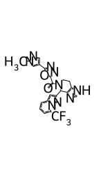 Cn1cc(-c2nnc(C(=O)N3CCc4[nH]cnc4C3c3cc4cccc(C(F)(F)F)n4n3)o2)cn1